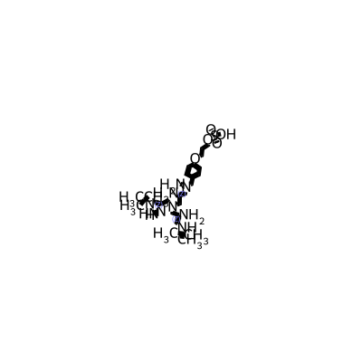 CC(C)(C)N/C=C(\N)CN(C/C(N)=C/N(N)Cc1ccc(OCCCOS(=O)(=O)O)cc1)C/C(=C/NC(C)(C)C)N=N